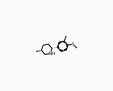 CSc1ccc([C@H]2CC[C@H](C)CN2)cc1C